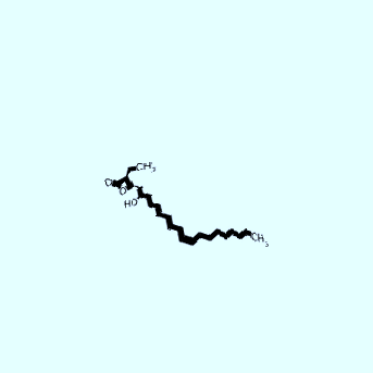 CCCCCCCC/C=C\CCCCCCC[C@@H](O)C[C@@H]1OC(=O)[C@H]1CC